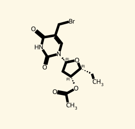 CC[C@H]1O[C@@H](n2cc(CBr)c(=O)[nH]c2=O)C[C@H]1OC(C)=O